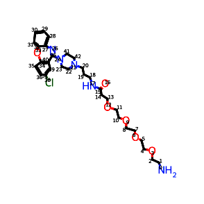 NCCOCCOCCOCCOCCC(=O)NCCCN1CCN(C2=Nc3ccccc3Oc3ccc(Cl)cc32)CC1